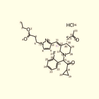 CCOC(=O)CCn1ccc(/C=C2\CN(C(C(=O)C3CC3)c3ccccc3F)CC[C@H]2SC(C)=O)n1.Cl